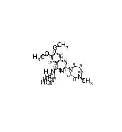 COc1cc2nc(N3CCCN(C)CC3)nc(N)c2cc1OC.Cl.Cl.Cl